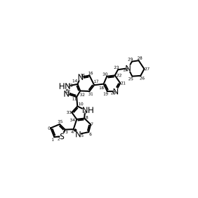 c1csc(-c2nccc3[nH]c(-c4n[nH]c5ncc(-c6cncc(CN7CCCCC7)c6)cc45)cc23)c1